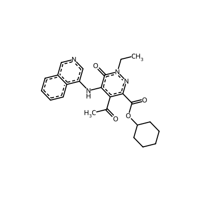 CCn1nc(C(=O)OC2CCCCC2)c(C(C)=O)c(Nc2cncc3ccccc23)c1=O